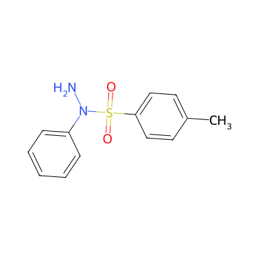 Cc1ccc(S(=O)(=O)N(N)c2ccccc2)cc1